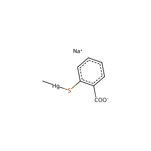 [CH3][Hg][S]c1ccccc1C(=O)[O-].[Na+]